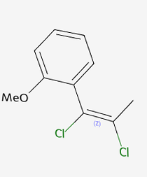 COc1ccccc1/C(Cl)=C(\C)Cl